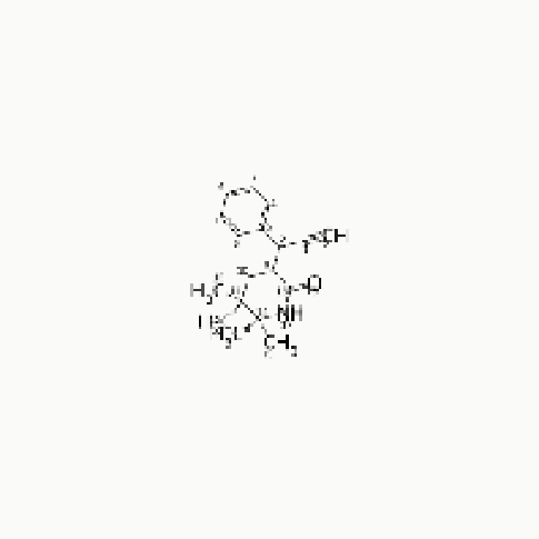 C#CC(c1ccccc1)C1CC(C)(C)C(C)(C)NC1=O